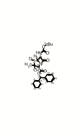 CC(C)(C)OC(=O)N[C@@H]1C(=O)N2[C@@H]1[S+]([O-])C(C)(C)[C@@H]2C(=O)OC(c1ccccc1)c1ccccc1